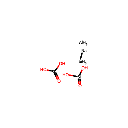 O=[Si](O)O.O=[Si](O)O.[AlH3].[Na][SiH3]